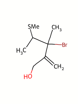 C=C(CO)C(C)(Br)C(C)SC